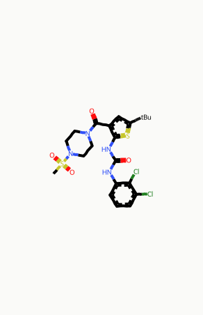 CC(C)(C)c1cc(C(=O)N2CCN(S(C)(=O)=O)CC2)c(NC(=O)Nc2cccc(Cl)c2Cl)s1